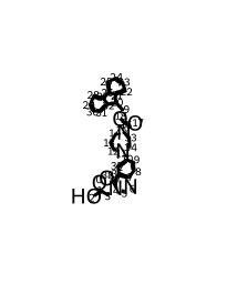 O=C(O)Cn1cnc2ccc(N3CCCN(C(=O)OCC4c5ccccc5-c5ccccc54)CC3)cc2c1=O